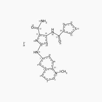 C[n+]1cccc2cc(Nc3nc(C(N)=O)c(NC(=O)c4ccsc4)s3)ccc21.[I-]